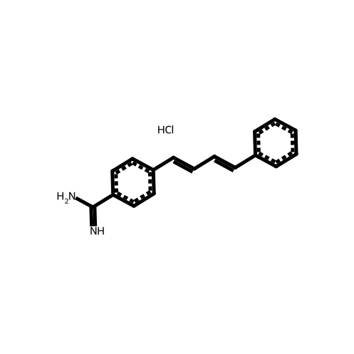 Cl.N=C(N)c1ccc(C=CC=Cc2ccccc2)cc1